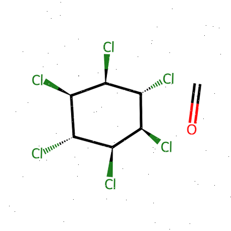 C=O.Cl[C@H]1[C@H](Cl)[C@@H](Cl)[C@@H](Cl)[C@H](Cl)[C@H]1Cl